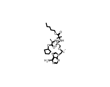 CCCCCOC(=O)C(C)(C)N[P@@](=O)(CO[C@H](C)Cn1cnc2c(N)ncnc21)N[C@H](C)C(=O)OC1CCCC1